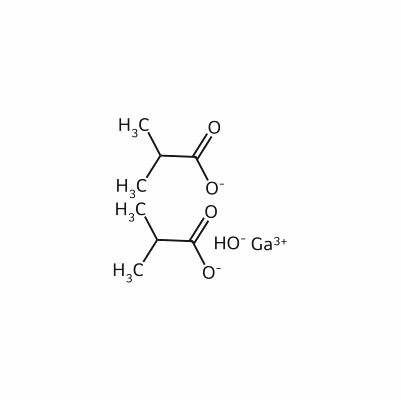 CC(C)C(=O)[O-].CC(C)C(=O)[O-].[Ga+3].[OH-]